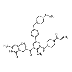 C=CC(=O)N1CCC(Nc2cc(-c3ccc(CN4CCC(OCCCC)CC4)cc3)cc(C(=O)NCc3c(C)cc(C)[nH]c3=O)c2C)CC1